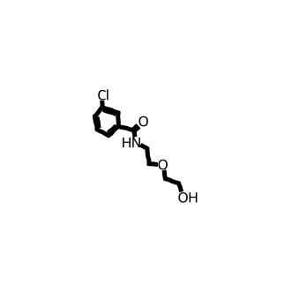 O=C(NCCOCCO)c1cccc(Cl)c1